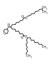 CCCCCCCCC(CCCCCCCC)OC(=O)CCCCCCC(CCCCCCC(=O)OCCCCCCCC(C)C)NC1CCOCC1